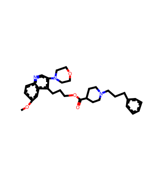 COc1ccc2ncc(N3CCOCC3)c(CCCOC(=O)C3CCN(CCCc4ccccc4)CC3)c2c1